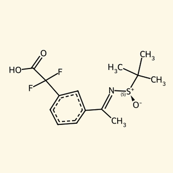 CC(=N[S@+]([O-])C(C)(C)C)c1cccc(C(F)(F)C(=O)O)c1